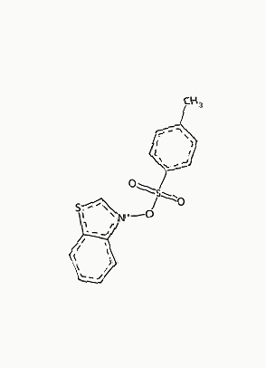 Cc1ccc(S(=O)(=O)O[n+]2csc3ccccc32)cc1